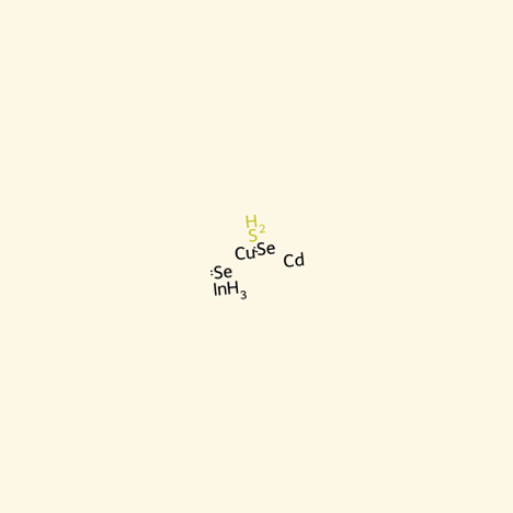 S.[Cd].[Cu].[InH3].[Se].[Se]